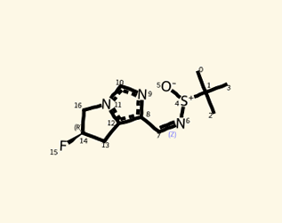 CC(C)(C)[S+]([O-])/N=C\c1ncn2c1C[C@@H](F)C2